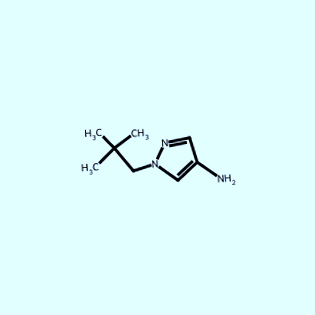 CC(C)(C)Cn1cc(N)cn1